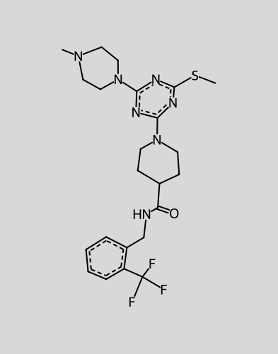 CSc1nc(N2CCC(C(=O)NCc3ccccc3C(F)(F)F)CC2)nc(N2CCN(C)CC2)n1